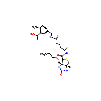 CC(CCCC(=O)NCc1ccc([N+](=O)[O-])c(C(C)O)c1)NC(=O)[C@@]1(CCCCC(=O)O)SC[C@@H]2NC(=O)N[C@@H]21